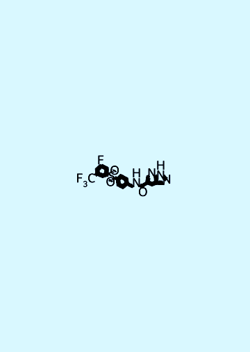 O=C(NCc1ccc(S(=O)(=O)c2cc(F)cc(C(F)(F)F)c2)cc1)c1cnc2[nH]ncc2c1